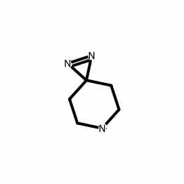 C1CC2(CC[N]1)N=N2